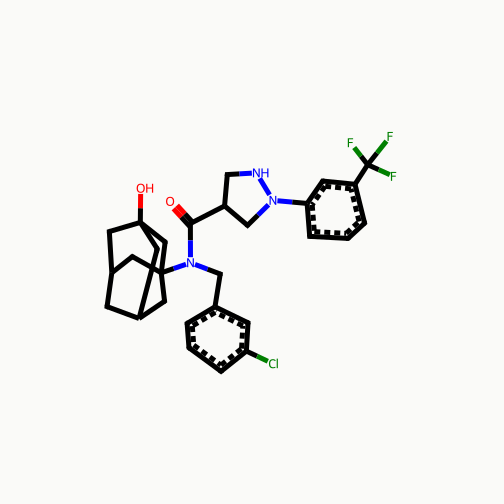 O=C(C1CNN(c2cccc(C(F)(F)F)c2)C1)N(Cc1cccc(Cl)c1)C12CC3CC(CC(O)(C3)C1)C2